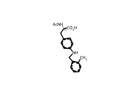 CC(=O)N[C@@H](Cc1ccc(NCc2ccccc2C)cc1)C(=O)O